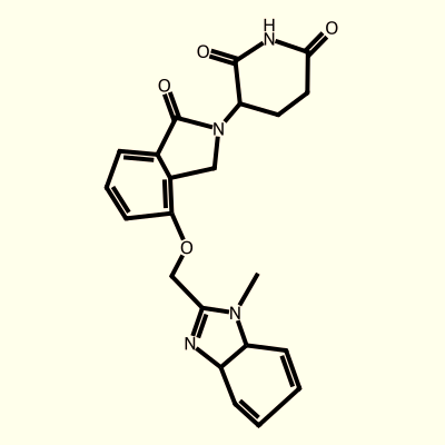 CN1C(COc2cccc3c2CN(C2CCC(=O)NC2=O)C3=O)=NC2C=CC=CC21